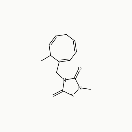 C=C1SN(C)C(=O)N1C/C1=C/C=C\C/C=C\C1C